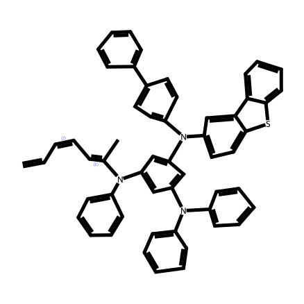 C=C/C=C\C=C(/C)N(c1ccccc1)c1cc(N(c2ccccc2)c2ccccc2)cc(N(c2ccc(-c3ccccc3)cc2)c2ccc3sc4ccccc4c3c2)c1